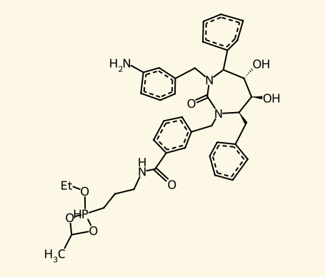 CCO[PH]1(CCCNC(=O)c2cccc(CN3C(=O)N(Cc4cccc(N)c4)C(c4ccccc4)[C@H](O)[C@@H](O)[C@H]3Cc3ccccc3)c2)OC(C)O1